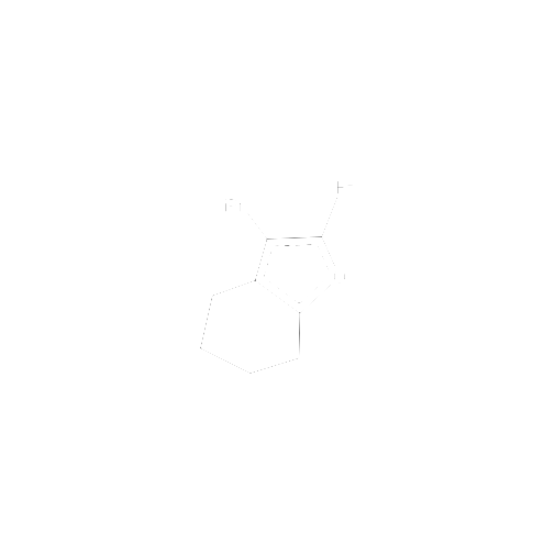 CCc1oc2c(c1C(C)C)CCCC2